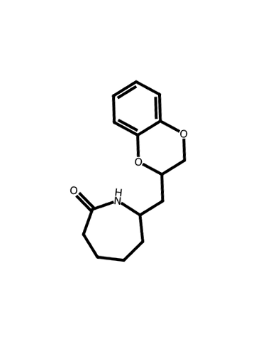 O=C1CCCCC(CC2COc3ccccc3O2)N1